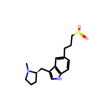 CN1CCC[C@@H]1Cc1c[nH]c2ccc(CCC[SH](=O)=O)cc12